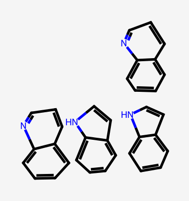 c1ccc2[nH]ccc2c1.c1ccc2[nH]ccc2c1.c1ccc2ncccc2c1.c1ccc2ncccc2c1